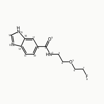 O=C(NCCOCCF)c1ccc2nc[nH]c2c1